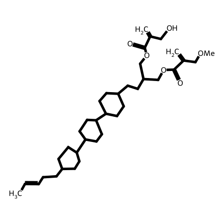 C=C(CO)C(=O)OCC(CCC1CCC(C2CCC(C3CCC(CC/C=C/C)CC3)CC2)CC1)COC(=O)C(=C)COC